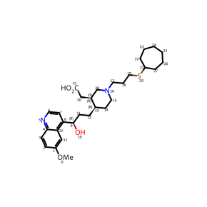 COc1ccc2nccc([C@H](O)CC[C@@H]3CCN(CCCSC4CCCCCC4)C[C@@H]3CC(=O)O)c2c1